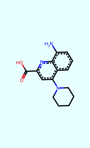 Nc1cccc2c(N3CCCCC3)cc(C(=O)O)nc12